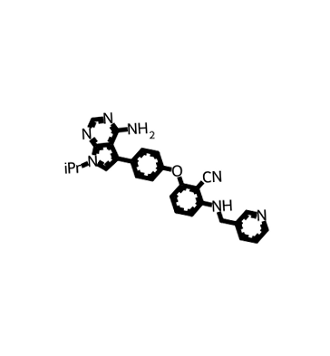 CC(C)n1cc(-c2ccc(Oc3cccc(NCc4cccnc4)c3C#N)cc2)c2c(N)ncnc21